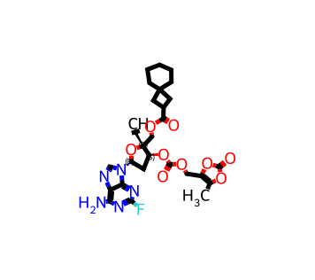 C#C[C@]1(COC(=O)C2CC3(CCCCC3)C2)O[C@@H](n2cnc3c(N)nc(F)nc32)C[C@@H]1OC(=O)OCc1oc(=O)oc1C